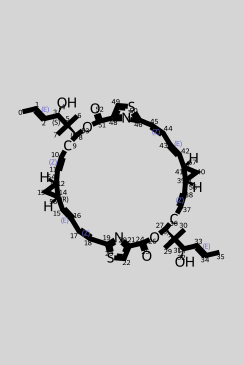 C/C=C/[C@H](O)C(C)(C)[C@@H]1C/C=C\[C@H]2C[C@H]2/C=C/C=C\c2nc(cs2)C(=O)O[C@H](C(C)(C)[C@@H](O)/C=C/C)C/C=C\[C@H]2C[C@H]2/C=C/C=C\c2nc(cs2)C(=O)O1